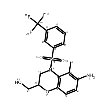 Cc1c(N)ccc2c1N(S(=O)(=O)c1cccc(C(F)(F)F)c1)CC(CO)O2